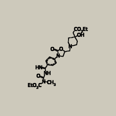 CCOC(=O)CC1(O)CCN(CC2CN(c3ccc(C(=N)NC(=O)N(C)C(=O)OCC)cc3)C(=O)O2)CC1